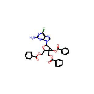 Nc1nc(Cl)c2ncn(C3OC(COC(=O)c4ccccc4)C4(COC(=O)c5ccccc5)C(OC(=O)c5ccccc5)C34)c2n1